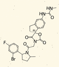 CNC(=O)Nc1ccc2c(c1)CC[C@@]21OC(=O)N(CC(=O)N2C(C)CCC2c2ccc(F)cc2Br)C1=O